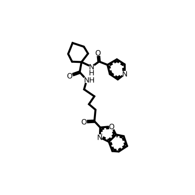 O=C(NC1(C(=O)NCCCCC(=O)c2nc3ccccc3o2)CCCCC1)c1ccncc1